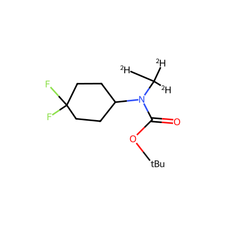 [2H]C([2H])([2H])N(C(=O)OC(C)(C)C)C1CCC(F)(F)CC1